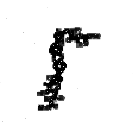 CCCN(Cc1ncc(-c2ccc3c(c2)Sc2ccc(-c4cnc([C@H](C)N(CCC)C(=O)[C@@H](NC(=O)OC)C(C)C)[nH]4)cc2S3)[nH]1)C(=O)[C@@H](NC(=O)OC)C(C)C